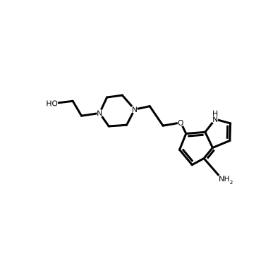 Nc1ccc(OCCN2CCN(CCO)CC2)c2[nH]ccc12